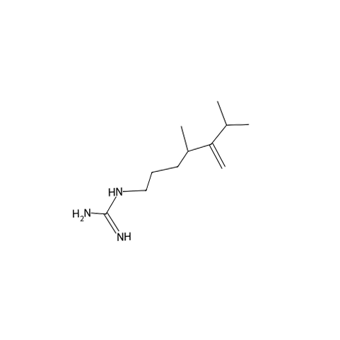 C=C(C(C)C)C(C)CCCNC(=N)N